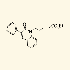 CCOC(=O)CCCCn1c(=O)c(-c2ccccc2)cc2ccccc21